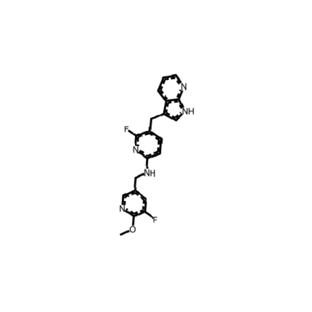 COc1ncc(CNc2ccc(Cc3c[nH]c4ncccc34)c(F)n2)cc1F